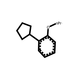 CC[CH]Oc1ccccc1C1CCCC1